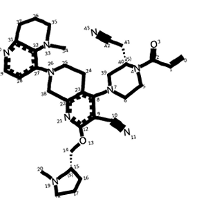 C=CC(=O)N1CCN(c2c(C#N)c(OC[C@@H]3CCCN3C)nc3c2CCN(c2ccnc4c2N(C)CCC4)C3)C[C@@H]1CC#N